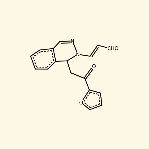 O=CC=CN1N=Cc2ccccc2C1CC(=O)c1ccco1